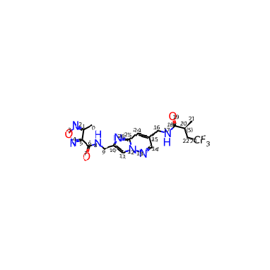 Cc1nonc1C(=O)NCc1cn2ncc(CNC(=O)[C@@H](C)CC(F)(F)F)cc2n1